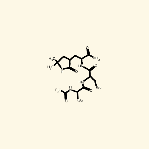 CC(C)(C)CC(NC(=O)C(NC(=O)C(F)(F)F)C(C)(C)C)C(=O)NC(CC1CC(C)(C)NC1=O)C(N)=O